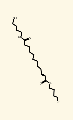 O=C(C=CCCCCCCCCC(=O)NCCCCO)NCCCCO